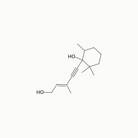 C/C(C#CC1(O)C(C)CCCC1(C)C)=C\CO